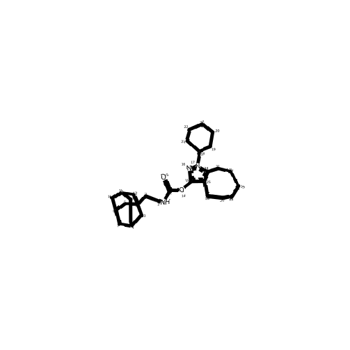 O=C(NCC12CC3CC(CC(C3)C1)C2)Oc1nn(C2CCCCC2)c2c1CCCCCC2